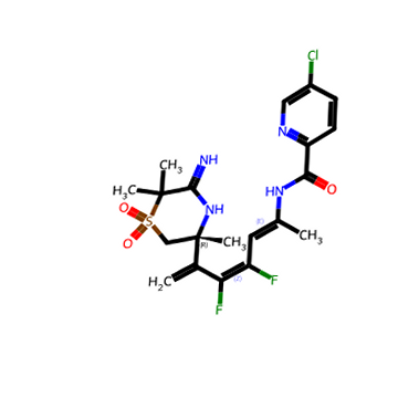 C=C(/C(F)=C(F)\C=C(/C)NC(=O)c1ccc(Cl)cn1)[C@]1(C)CS(=O)(=O)C(C)(C)C(=N)N1